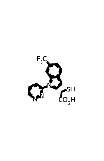 FC(F)(F)c1ccc2ccn(-c3cccnn3)c2c1.O=C(O)CS